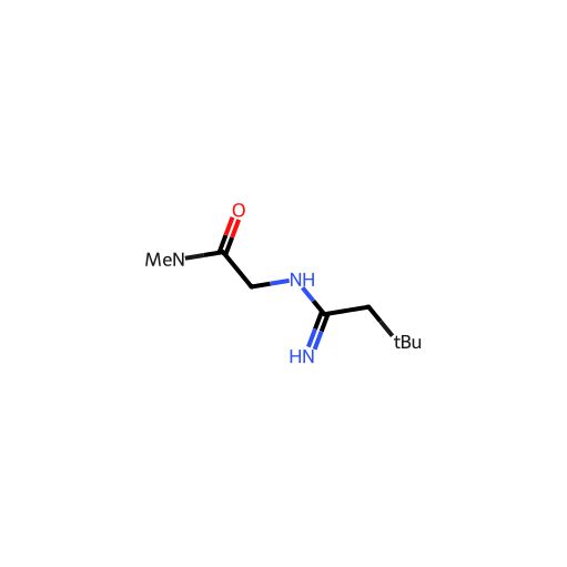 CNC(=O)CNC(=N)CC(C)(C)C